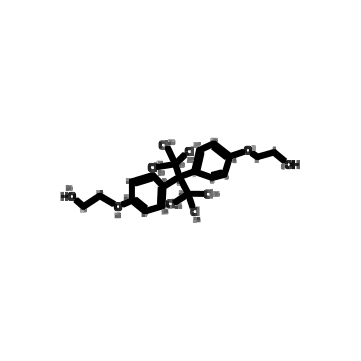 OCCOc1ccc(C(c2ccc(OCCO)cc2)(C(Cl)(Cl)Cl)C(Cl)(Cl)Cl)cc1